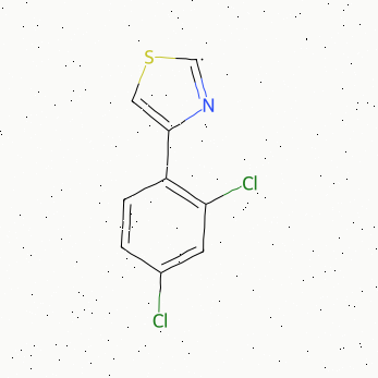 Clc1ccc(-c2cs[c]n2)c(Cl)c1